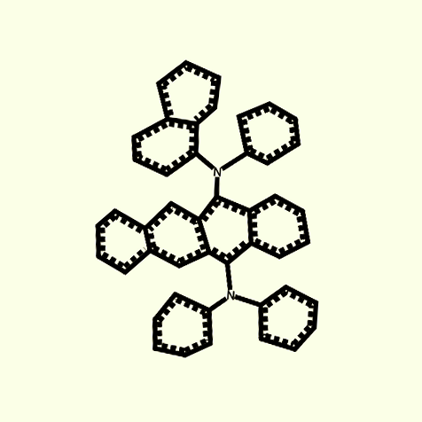 c1ccc(N(c2ccccc2)c2c3ccccc3c(N(c3ccccc3)c3cccc4ccccc34)c3cc4ccccc4cc23)cc1